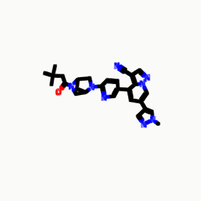 Cn1cc(-c2cc(-c3ccc(N4CC5CC4CN5C(=O)CC(C)(C)C)nc3)c3c(C#N)cnn3c2)cn1